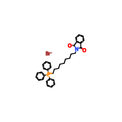 O=C1c2ccccc2C(=O)N1CCCCCCCCC[P+](c1ccccc1)(c1ccccc1)c1ccccc1.[Br-]